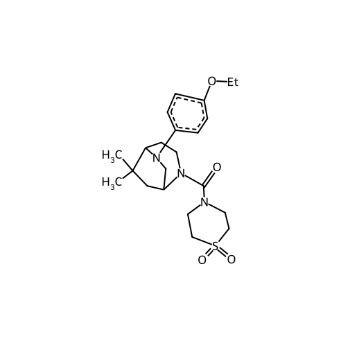 CCOc1ccc(N2CC3CC(C)(C)C2CCN3C(=O)N2CCS(=O)(=O)CC2)cc1